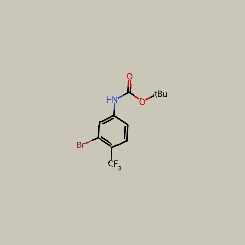 CC(C)(C)OC(=O)Nc1ccc(C(F)(F)F)c(Br)c1